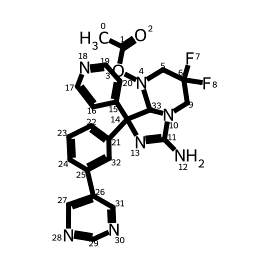 CC(=O)ON1CC(F)(F)CN2C(N)=NC(c3ccncc3)(c3cccc(-c4cncnc4)c3)C12